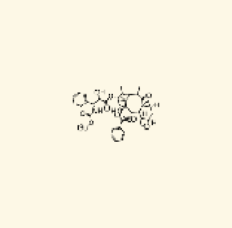 CC(=O)O[C@@]12CO[C@@H]1C[C@@H]1C[C@@]13C(=O)[C@H](C)C1=C(C)[C@@H](OC(=O)[C@H](O)[C@@H](NC(=O)OC(C)(C)C)c4ccccc4)C[C@@](O)([C@@H](OC(=O)c4ccccc4)[C@H]23)C1(C)C